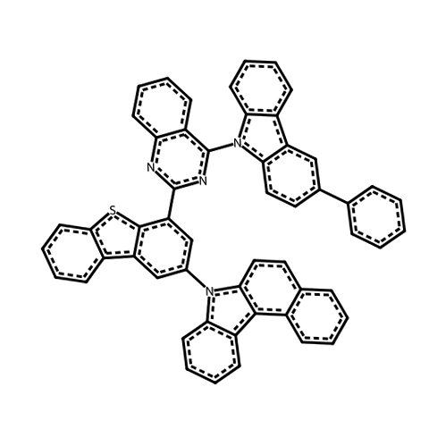 c1ccc(-c2ccc3c(c2)c2ccccc2n3-c2nc(-c3cc(-n4c5ccccc5c5c6ccccc6ccc54)cc4c3sc3ccccc34)nc3ccccc23)cc1